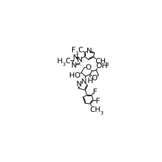 Cc1cnc(C(F)(F)F)c(-n2nc(C)nc2[C@@H]2OC3C(O)CO[C@@H]3C(n3cc(-c4ccc(C)c(F)c4F)cn3)C2O)c1